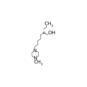 CCC[C@H](CO)CCCCCN1CCN(C)CC1